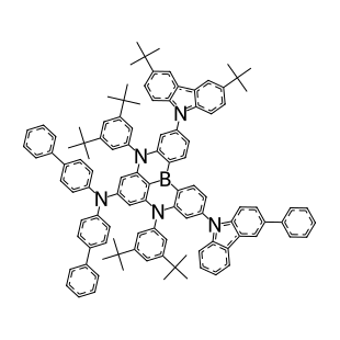 CC(C)(C)c1cc(N2c3cc(-n4c5ccccc5c5cc(-c6ccccc6)ccc54)ccc3B3c4ccc(-n5c6ccc(C(C)(C)C)cc6c6cc(C(C)(C)C)ccc65)cc4N(c4cc(C(C)(C)C)cc(C(C)(C)C)c4)c4cc(N(c5ccc(-c6ccccc6)cc5)c5ccc(-c6ccccc6)cc5)cc2c43)cc(C(C)(C)C)c1